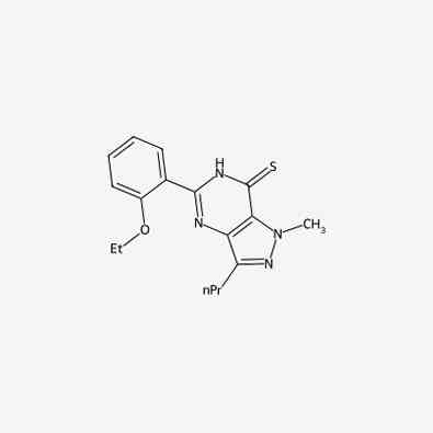 CCCc1nn(C)c2c(=S)[nH]c(-c3ccccc3OCC)nc12